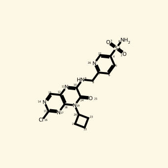 NS(=O)(=O)c1ccc(CNc2nc3cnc(Cl)nc3n(C3CCC3)c2=O)nc1